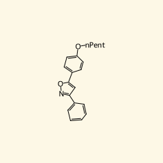 CCCCCOc1ccc(-c2cc(-c3ccccc3)no2)cc1